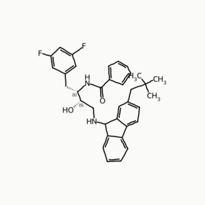 CC(C)(C)Cc1ccc2c(c1)C(NC[C@H](O)[C@H](Cc1cc(F)cc(F)c1)NC(=O)c1ccccc1)c1ccccc1-2